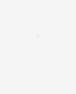 CC(C)(C)N1CCC(N)(C2CC2)CC1